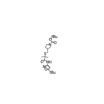 CC(C)(C)OC(=O)N1CCC(CSC(C)(C)C(=O)Nc2cc(C(C)(C)C)on2)C1